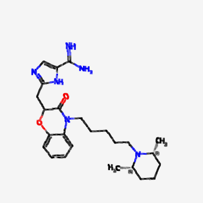 C[C@@H]1CCC[C@H](C)N1CCCCCN1C(=O)C(Cc2ncc(C(=N)N)[nH]2)Oc2ccccc21